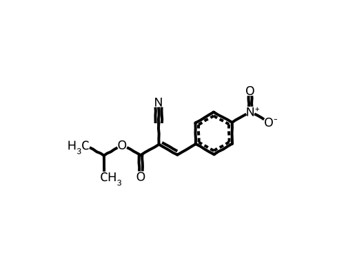 CC(C)OC(=O)/C(C#N)=C/c1ccc([N+](=O)[O-])cc1